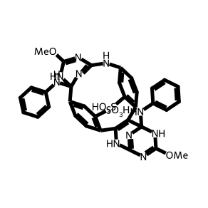 COC1=NC2=NC(Nc3ccccc3)(N1)C1=C(N2)c2ccc(cc2S(=O)(=O)O)C2(Nc3ccccc3)N=C(N=C(OC)N2)Nc2ccc1c(S(=O)(=O)O)c2